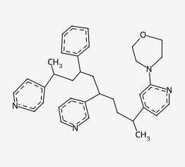 CC(CCC(CC(CC(C)c1ccncc1)c1ccccc1)c1cccnc1)c1ccnc(N2CCOCC2)c1